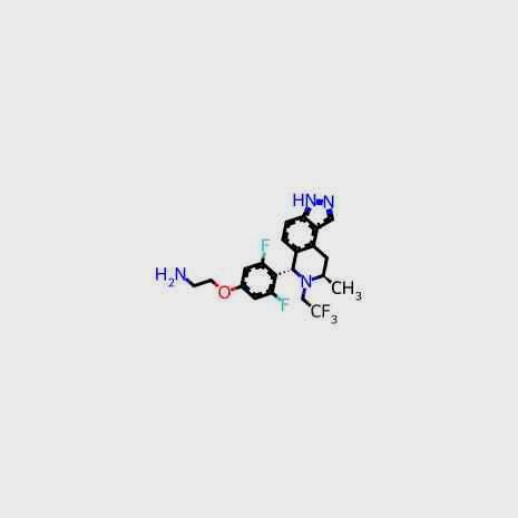 C[C@@H]1Cc2c(ccc3[nH]ncc23)[C@@H](c2c(F)cc(OCCN)cc2F)N1CC(F)(F)F